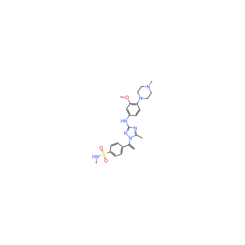 C=C(c1ccc(S(=O)(=O)NC)cc1)n1nc(Nc2ccc(N3CCN(C)CC3)c(OC)c2)nc1C